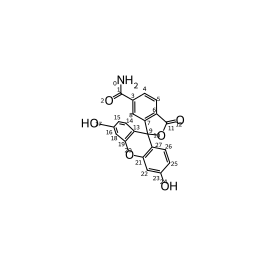 NC(=O)c1ccc2c(c1)C1(OC2=O)c2ccc(O)cc2Oc2cc(O)ccc21